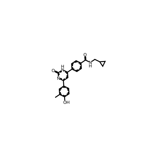 Cc1cc(-c2cc(-c3ccc(C(=O)NCC4CC4)cc3)[nH]c(=O)n2)ccc1O